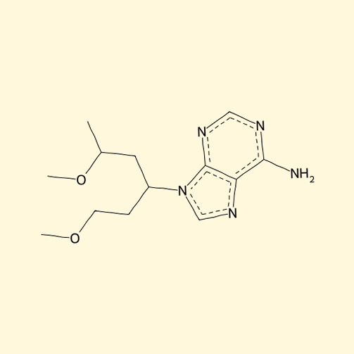 COCCC(CC(C)OC)n1cnc2c(N)ncnc21